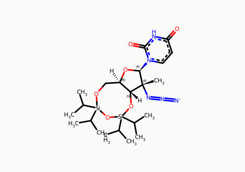 CC(C)[Si]1(C(C)C)OC[C@H]2O[C@@H](n3ccc(=O)[nH]c3=O)[C@](C)(N=[N+]=[N-])[C@@H]2O[Si](C(C)C)(C(C)C)O1